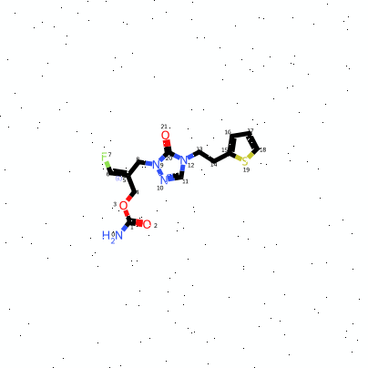 NC(=O)OC/C(=C/F)Cn1ncn(CCc2cccs2)c1=O